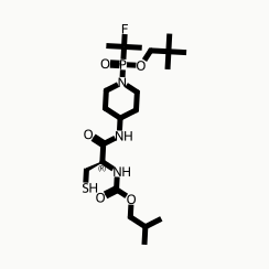 CC(C)COC(=O)N[C@@H](CS)C(=O)NC1CCN(P(=O)(OCC(C)(C)C)C(C)(C)F)CC1